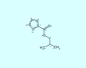 CC(C)COC(=O)c1ccco1